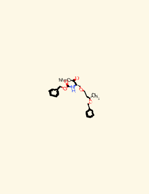 COC(=O)[C@H](COCC[C@H](C)OCc1ccccc1)NC(=O)OCc1ccccc1